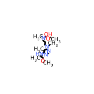 CCOC(O)N(C)CCCN(CC)c1ncnc(N[C@H](C)COC)c1C